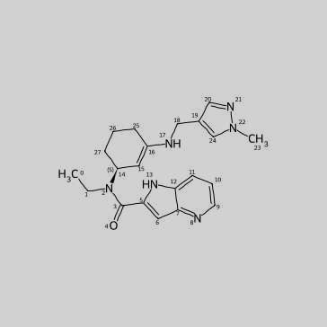 CCN(C(=O)c1cc2ncccc2[nH]1)[C@@H]1C=C(NCc2cnn(C)c2)CCC1